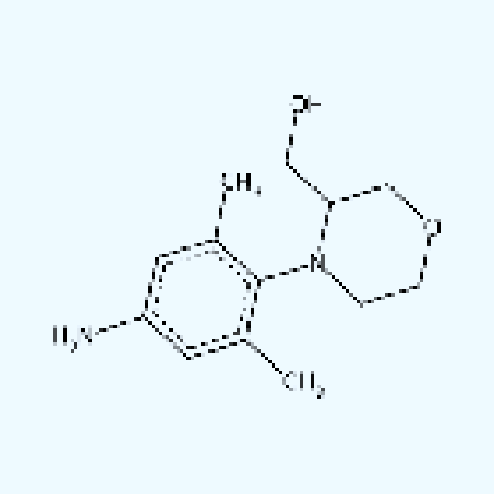 Cc1cc(N)cc(C)c1N1CCOCC1CO